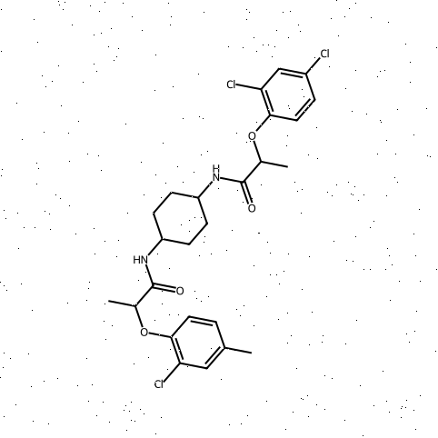 Cc1ccc(OC(C)C(=O)NC2CCC(NC(=O)C(C)Oc3ccc(Cl)cc3Cl)CC2)c(Cl)c1